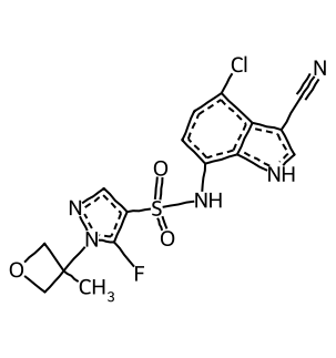 CC1(n2ncc(S(=O)(=O)Nc3ccc(Cl)c4c(C#N)c[nH]c34)c2F)COC1